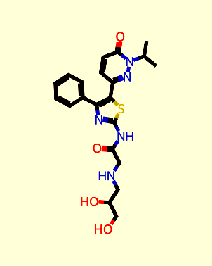 CC(C)n1nc(-c2sc(NC(=O)CNCC(O)CO)nc2-c2ccccc2)ccc1=O